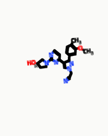 COc1cc(-c2nn(CC#N)cc2-c2ccnc(N3CC[C@H](O)C3)n2)ccc1C